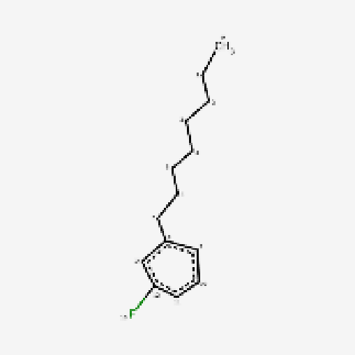 CCCCCC[CH]Cc1cccc(F)c1